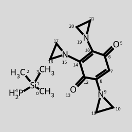 C[Si](C)(C)P.O=C1C=C(N2CC2)C(=O)C(N2CC2)=C1N1CC1